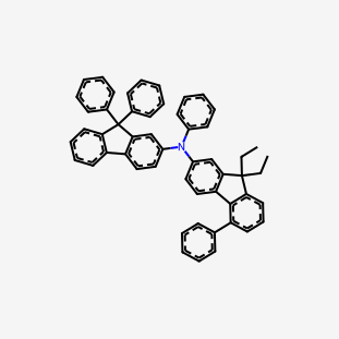 CCC1(CC)c2cc(N(c3ccccc3)c3ccc4c(c3)C(c3ccccc3)(c3ccccc3)c3ccccc3-4)ccc2-c2c(-c3ccccc3)cccc21